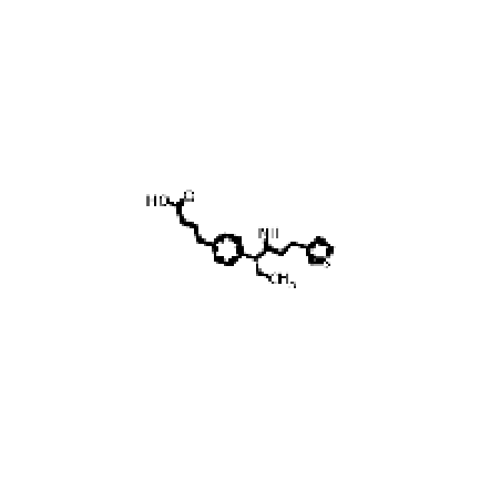 CC[C@H](C(=N)CCc1ccsc1)c1ccc(C/C=C/C(=O)O)cc1